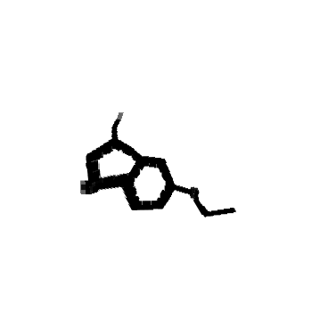 CCOc1ccc2[nH]cc(I)c2c1